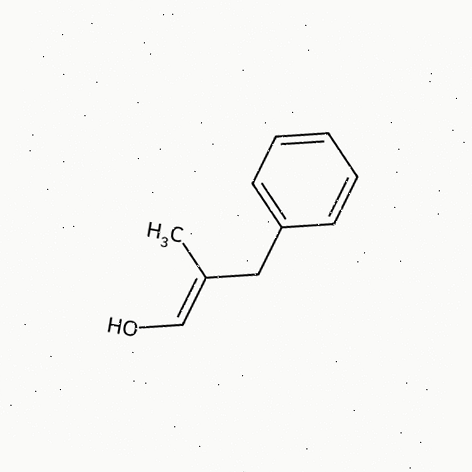 C/C(=C\O)Cc1ccccc1